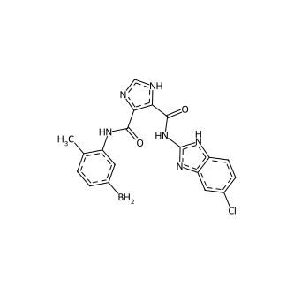 Bc1ccc(C)c(NC(=O)c2nc[nH]c2C(=O)Nc2nc3cc(Cl)ccc3[nH]2)c1